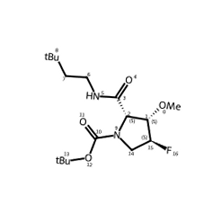 CO[C@H]1[C@@H](C(=O)NCCC(C)(C)C)N(C(=O)OC(C)(C)C)C[C@@H]1F